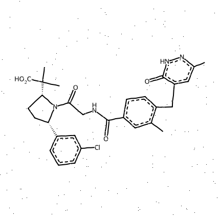 Cc1cc(Cc2ccc(C(=O)NCC(=O)N3[C@H](c4cccc(Cl)c4)CC[C@@H]3C(C)(C)C(=O)O)cc2C)c(=O)[nH]n1